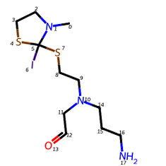 CN1CCSC1(I)SCCN(CC=O)CCCN